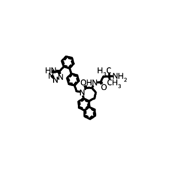 CC(C)(N)CC(=O)NC1CCc2c(ccc3ccccc23)N(Cc2ccc(-c3ccccc3-c3nnn[nH]3)cc2)C1=O